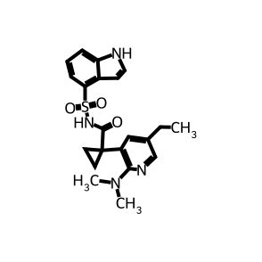 CCc1cnc(N(C)C)c(C2(C(=O)NS(=O)(=O)c3cccc4[nH]ccc34)CC2)c1